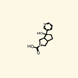 O=C(O)N1CC2CCC(O)(c3cccnc3)C2C1